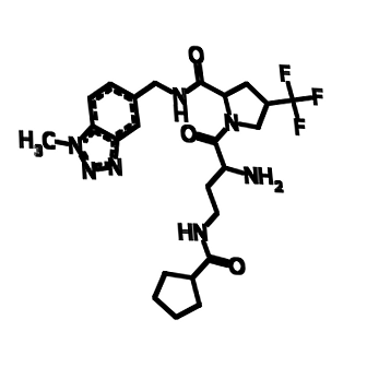 Cn1nnc2cc(CNC(=O)C3CC(C(F)(F)F)CN3C(=O)C(N)CCNC(=O)C3CCCC3)ccc21